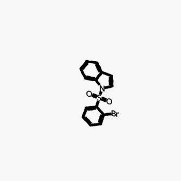 O=S(=O)(c1ccccc1Br)n1ccc2ccccc21